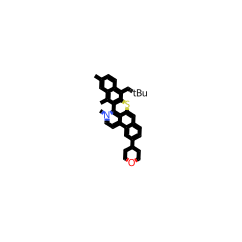 Cc1ccc2c(CC(C)(C)C)c3c(c(C)c2c1)-c1c2c(cc4ccc(C5CCOCC5)cc4c2cc[n+]1C)S3